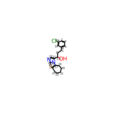 OC(CCc1cccc(Cl)c1)c1cnc2sc3c(n12)CCCCC3